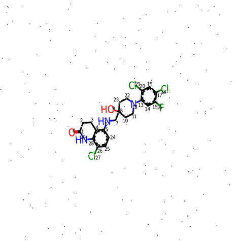 O=C1CCc2c(NCC3(O)CCN(c4cc(F)c(Cl)cc4Cl)CC3)ccc(Cl)c2N1